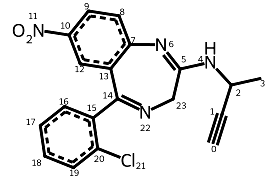 C#CC(C)NC1=Nc2ccc([N+](=O)[O-])cc2C(c2ccccc2Cl)=NC1